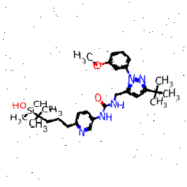 COc1cccc(-n2nc(C(C)(C)C)cc2CNC(=O)Nc2ccc(CCCC(C)(C)[Si](C)(C)O)nc2)c1